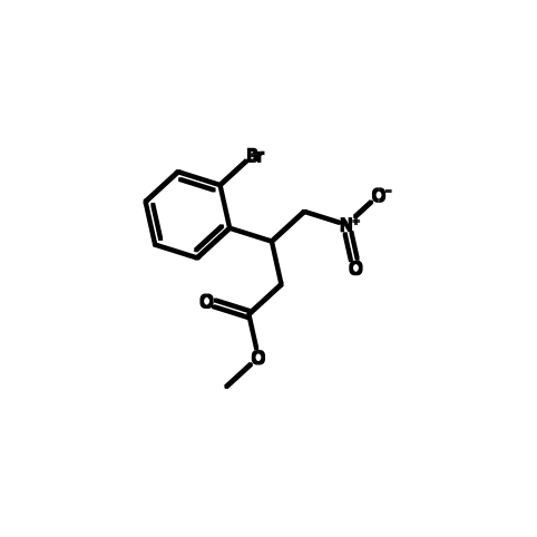 COC(=O)CC(C[N+](=O)[O-])c1ccccc1Br